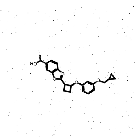 CC(O)c1ccc2nc(C3CCC3Oc3cccc(OCC4CC4)c3)oc2c1